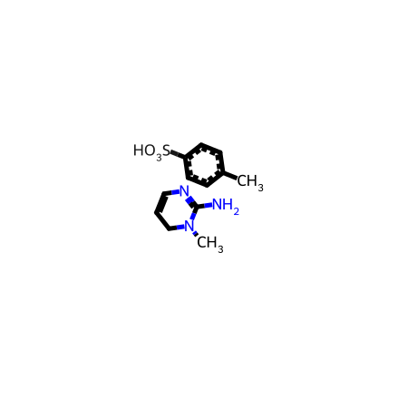 CN1CC=CN=C1N.Cc1ccc(S(=O)(=O)O)cc1